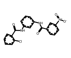 O=C(Nc1cccc(NC(=O)c2ccccc2Cl)c1)c1cccc([N+](=O)[O-])c1